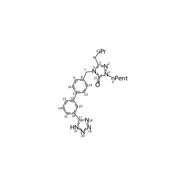 CCCCCn1nc(CC(C)C)n(Cc2ccc(-c3cccc(-c4nnn[nH]4)c3)cc2)c1=O